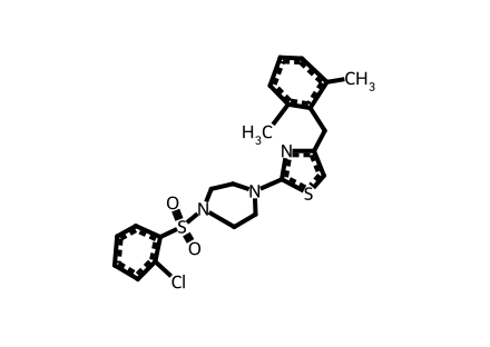 Cc1cccc(C)c1Cc1csc(N2CCN(S(=O)(=O)c3ccccc3Cl)CC2)n1